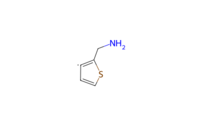 NCc1[c]ccs1